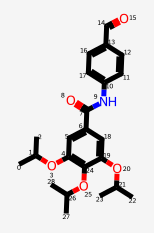 CC(C)Oc1cc(C(=O)Nc2ccc(C=O)cc2)cc(OC(C)C)c1OC(C)C